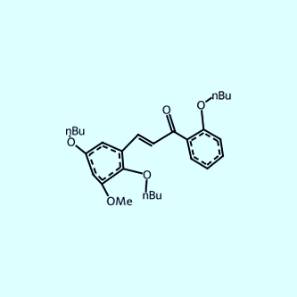 CCCCOc1cc(C=CC(=O)c2ccccc2OCCCC)c(OCCCC)c(OC)c1